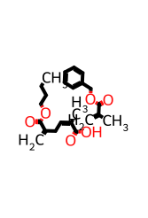 C=C(C)C(=O)OCc1ccccc1.C=C(CC=C(C)C(=O)O)C(=O)OCCCC